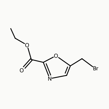 CCOC(=O)c1ncc(CBr)o1